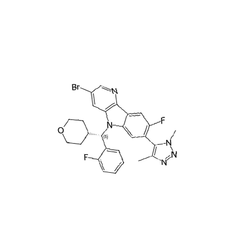 Cc1nnn(C)c1-c1cc2c(cc1F)c1ncc(Br)cc1n2[C@H](c1ccccc1F)C1CCOCC1